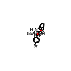 CC(C)(C)OC(=O)NC1CC2CCC(C1)C2C(=O)C(N)C(F)(F)c1ccc(Br)cc1